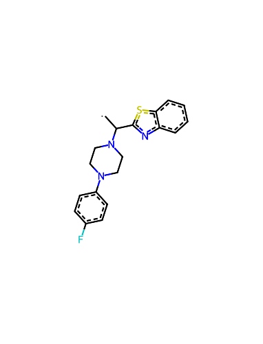 [CH2]C(c1nc2ccccc2s1)N1CCN(c2ccc(F)cc2)CC1